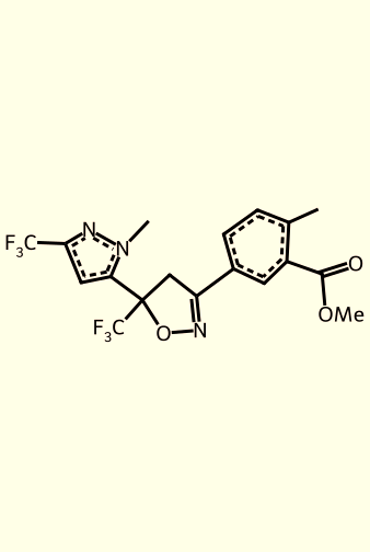 COC(=O)c1cc(C2=NOC(c3cc(C(F)(F)F)nn3C)(C(F)(F)F)C2)ccc1C